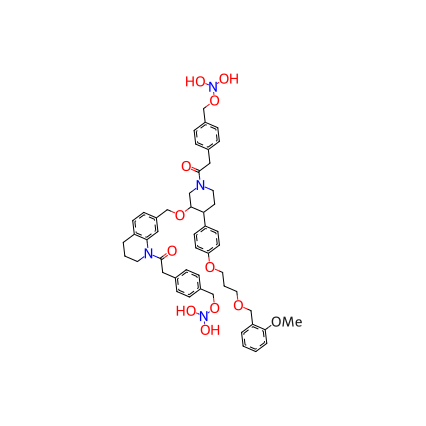 COc1ccccc1COCCCOc1ccc(C2CCN(C(=O)Cc3ccc(CON(O)O)cc3)CC2OCc2ccc3c(c2)N(C(=O)Cc2ccc(CON(O)O)cc2)CCC3)cc1